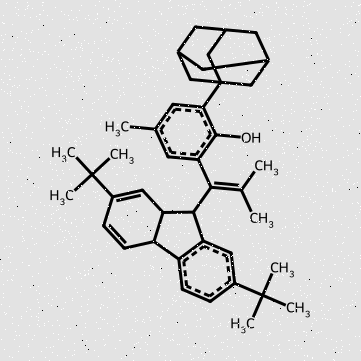 CC(C)=C(c1cc(C)cc(C23CC4CC(CC(C4)C2)C3)c1O)C1c2cc(C(C)(C)C)ccc2C2C=CC(C(C)(C)C)=CC21